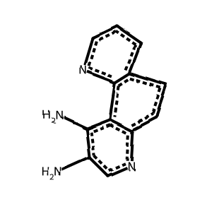 Nc1cnc2ccc3cccnc3c2c1N